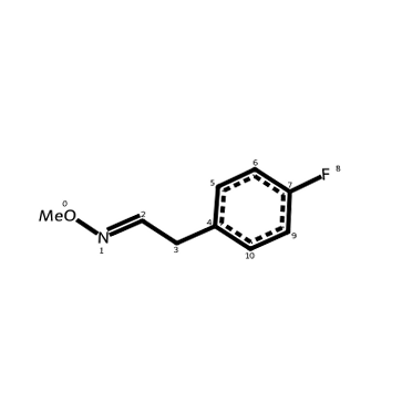 CON=CCc1ccc(F)cc1